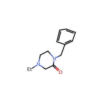 CCN1CCN(Cc2ccccc2)C(=O)C1